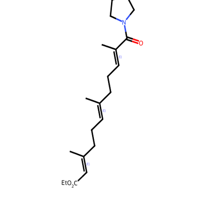 CCOC(=O)/C=C(\C)CC/C=C(\C)CC/C=C(\C)C(=O)N1CCCC1